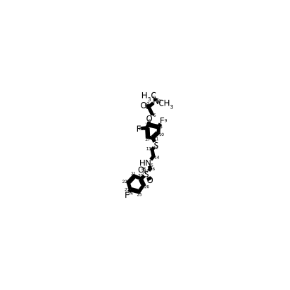 CN(C)C(=O)COc1c(F)cc(SCCNCS(=O)(=O)c2ccc(F)cc2)cc1F